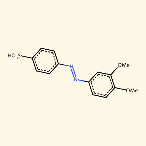 COc1ccc(N=Nc2ccc(S(=O)(=O)O)cc2)cc1OC